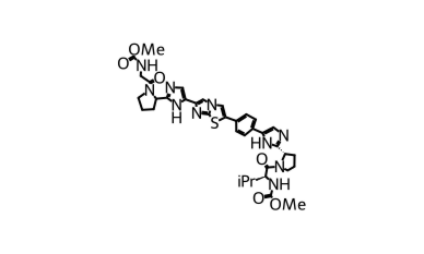 COC(=O)NCC(=O)N1CCCC1c1ncc(-c2cn3cc(-c4ccc(-c5cnc([C@@H]6CCCN6C(=O)[C@@H](NC(=O)OC)C(C)C)[nH]5)cc4)sc3n2)[nH]1